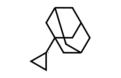 C1C[C]1C12CC3CC(CC(C3)C1)C2